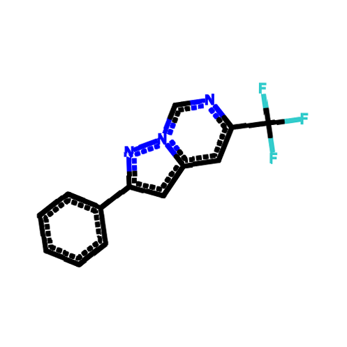 FC(F)(F)c1cc2cc(-c3ccccc3)nn2cn1